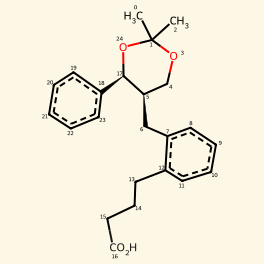 CC1(C)OC[C@@H](Cc2ccccc2CCCC(=O)O)[C@@H](c2ccccc2)O1